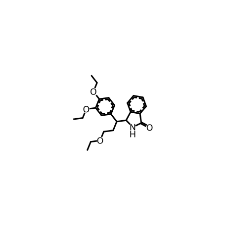 CCOCCC(c1ccc(OCC)c(OCC)c1)C1NC(=O)c2ccccc21